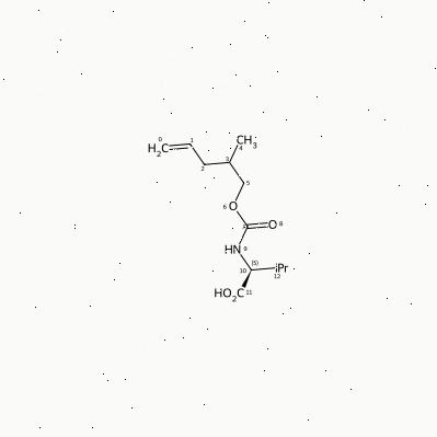 C=CCC(C)COC(=O)N[C@H](C(=O)O)C(C)C